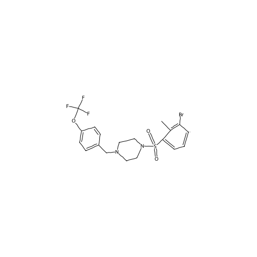 Cc1c(Br)[c]ccc1S(=O)(=O)N1CCN(Cc2ccc(OC(F)(F)F)cc2)CC1